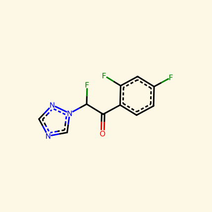 O=C(c1ccc(F)cc1F)C(F)n1cncn1